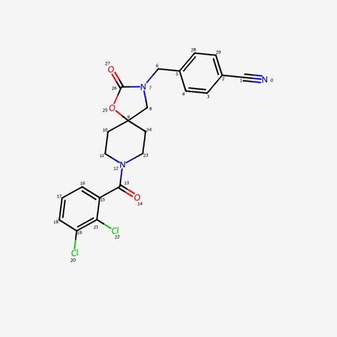 N#Cc1ccc(CN2CC3(CCN(C(=O)c4cccc(Cl)c4Cl)CC3)OC2=O)cc1